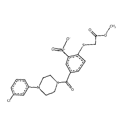 COC(=O)CSc1ccc(C(=O)N2CCN(c3cccc(Cl)c3)CC2)cc1[N+](=O)[O-]